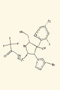 CC(C)(C)CC1NC(C(=O)O)C(c2cc(Br)cs2)C1(C#N)c1ccc(Cl)cc1F.O=C(O)C(F)(F)F